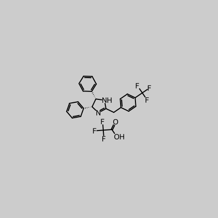 FC(F)(F)c1ccc(CC2=N[C@H](c3ccccc3)[C@H](c3ccccc3)N2)cc1.O=C(O)C(F)(F)F